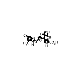 Cc1cc(Cl)cc2nc(Sc3ccc(C4C5=C(CNCC5=O)Nc5c4c[nH]c5C(=O)O)o3)[nH]c12